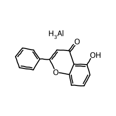 O=c1cc(-c2ccccc2)oc2cccc(O)c12.[AlH3]